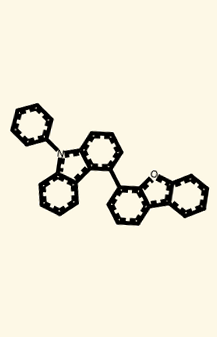 c1ccc(-n2c3ccccc3c3c(-c4cccc5c4oc4ccccc45)cccc32)cc1